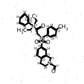 CC[N+](CC)(C(=O)CN(c1ccc(C)cc1)S(=O)(=O)c1ccc2c(c1)CN(C=O)CC2)c1ccccc1